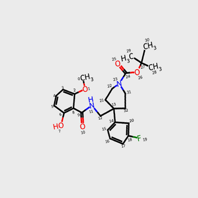 COc1cccc(O)c1C(=O)NCC1(c2cccc(F)c2)CCN(C(=O)OC(C)(C)C)CC1